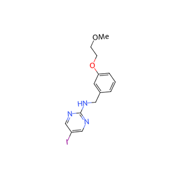 COCCOc1cccc(CNc2ncc(I)cn2)c1